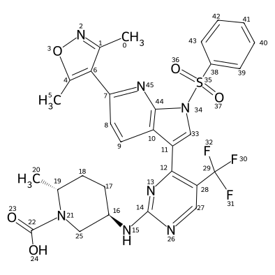 Cc1noc(C)c1-c1ccc2c(-c3nc(N[C@@H]4CC[C@@H](C)N(C(=O)O)C4)ncc3C(F)(F)F)cn(S(=O)(=O)c3ccccc3)c2n1